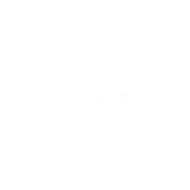 CC1=NC(C)C(c2ccc3cc(CO)ccc3n2)S1